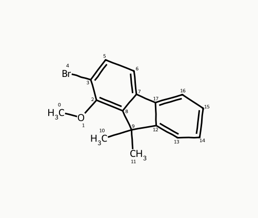 COc1c(Br)ccc2c1C(C)(C)c1ccccc1-2